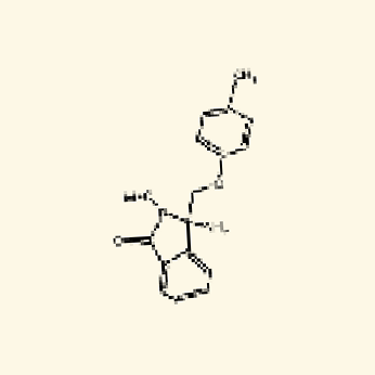 CON1C(=O)c2ccccc2C1(N)COc1ccc(C)cc1